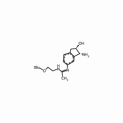 CC(=Nc1ccc2c(c1)[C@@H](N)[C@H](O)C2)NCCOC(C)(C)C